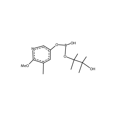 COc1ncc(OB(O)OC(C)(C)C(C)(C)O)cc1C